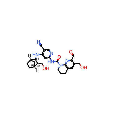 N#Cc1cnc(NC(=O)N2CCCc3cc(CO)c(C=O)nc32)cc1N[C@@H]1[C@H]2CC[C@H](C2)[C@@H]1CO